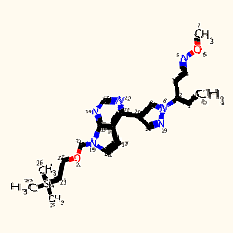 CCC(C/C=N/OC)n1cc(-c2ncnc3c2ccn3COCC[Si](C)(C)C)cn1